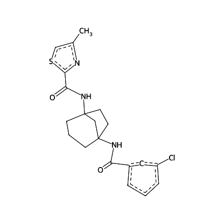 Cc1csc(C(=O)NC23CCCC(NC(=O)c4cccc(Cl)c4)(CC2)C3)n1